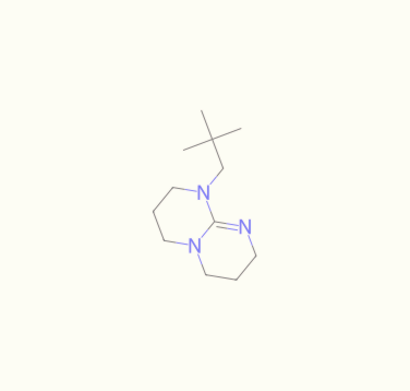 CC(C)(C)CN1CCCN2CCCN=C21